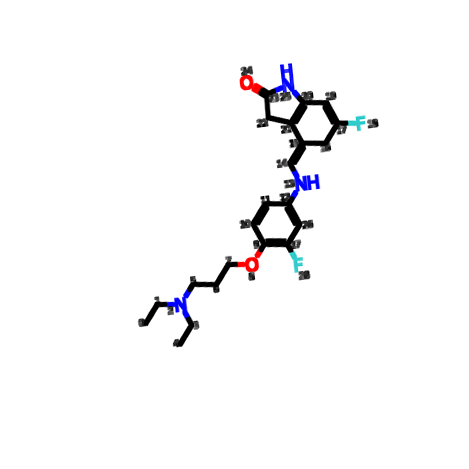 CCN(CC)CCCOc1ccc(NC=C2CC(F)=CC3=C2CC(=O)N3)cc1F